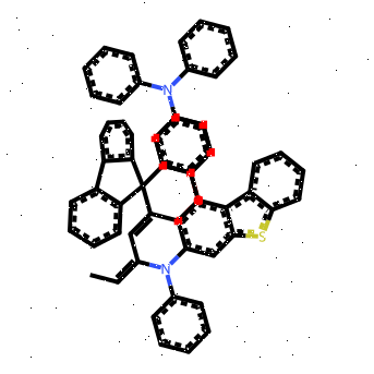 C/C=C(\C=C1/COc2ccccc2C12c1ccccc1-c1ccccc12)N(c1ccccc1)c1cc(-c2ccc(N(c3ccccc3)c3ccccc3)cc2)c2c(c1)sc1ccccc12